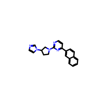 c1ccc2cc(-c3ccnc(N4CCC(n5ccnc5)C4)n3)ccc2c1